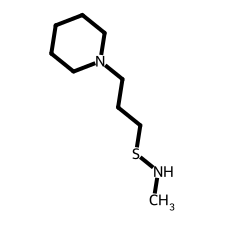 CNSCCCN1CCCCC1